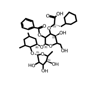 CC1CC(C)C(O[C@@H]2OC(C)[C@@H](O)C(O)C2O)[C@H](O[C@@H]2OC(CO)[C@H](O)C(O[C@@H](CC3CCCCC3)C(=O)O)C2OC(=O)c2ccccc2)C1